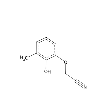 Cc1cccc(OCC#N)c1O